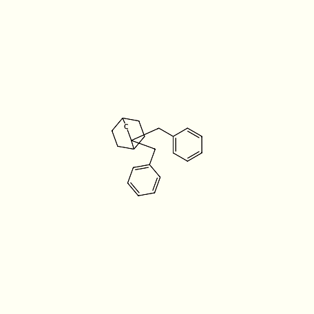 c1ccc(CC2(Cc3ccccc3)CC3CCC2CC3)cc1